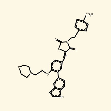 O=C(O)c1ccc(CCN2C(=O)/C(=C/c3ccc(OCCN4CCOCC4)c(-c4ccc5[nH]ccc5c4)c3)SC2=S)cc1